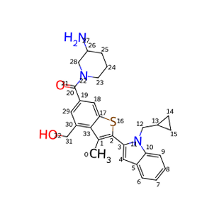 Cc1c(-c2cc3ccccc3n2CC2CC2)sc2cc(C(=O)N3CCCC(N)C3)cc(CO)c12